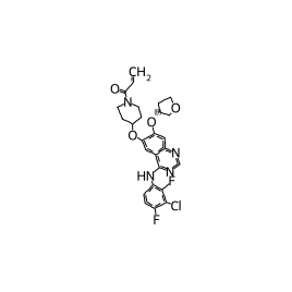 C=CC(=O)N1CCC(Oc2cc3c(Nc4ccc(F)c(Cl)c4F)ncnc3cc2O[C@@H]2CCOC2)CC1